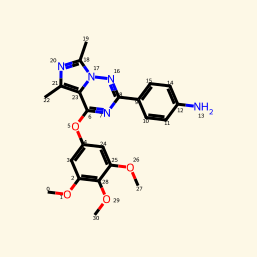 COc1cc(Oc2nc(-c3ccc(N)cc3)nn3c(C)nc(C)c23)cc(OC)c1OC